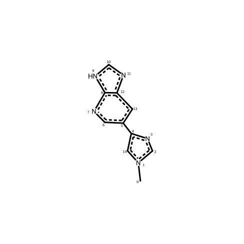 Cn1cnc(-c2cnc3[nH]cnc3c2)c1